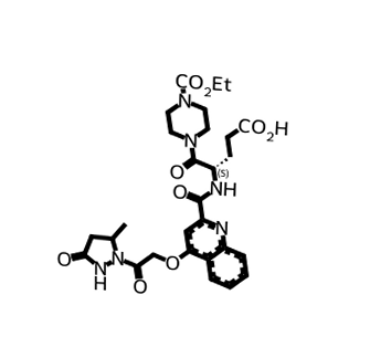 CCOC(=O)N1CCN(C(=O)[C@H](CCC(=O)O)NC(=O)c2cc(OCC(=O)N3NC(=O)CC3C)c3ccccc3n2)CC1